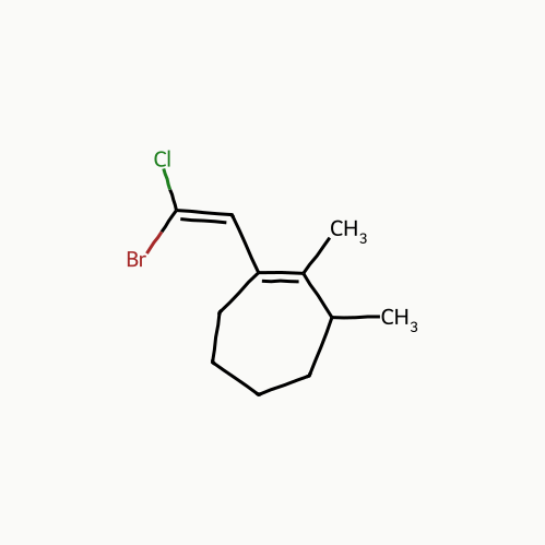 CC1=C(C=C(Cl)Br)CCCCC1C